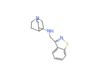 c1ccc2c(CNC3CN4CCC3CC4)nsc2c1